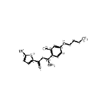 CCc1ccc(C(=O)C[C@H](N)c2ccc(OCCCC(F)(F)F)cc2Cl)s1